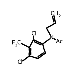 C=CCN(C(C)=O)c1ccc(Cl)c(C(F)(F)F)c1Cl